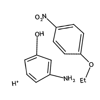 CCOc1ccc([N+](=O)[O-])cc1.Nc1cccc(O)c1.[H+]